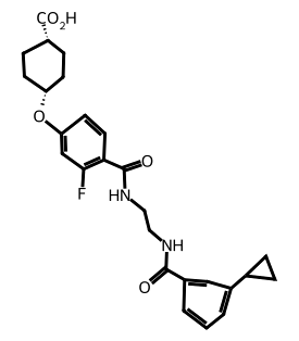 O=C(NCCNC(=O)c1ccc(O[C@H]2CC[C@@H](C(=O)O)CC2)cc1F)c1cccc(C2CC2)c1